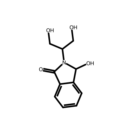 O=C1c2ccccc2C(O)N1C(CO)CO